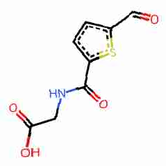 O=Cc1ccc(C(=O)NCC(=O)O)s1